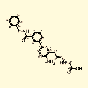 Nc1ncc(-c2cccc(C(=O)NCc3ccccc3)c2)nc1CC=NNCC(=O)O